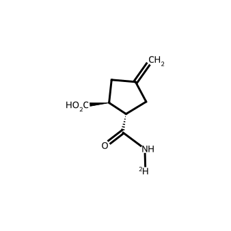 [2H]NC(=O)[C@H]1CC(=C)C[C@@H]1C(=O)O